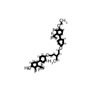 CCOc1ccc(-c2ccc(OCCC(CC)CCOc3ccc(-c4ccc(O)c(F)c4C(F)(F)F)cc3)cc2)c(C(F)(F)F)c1F